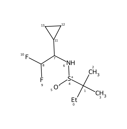 CCC(C)(C)[S+]([O-])NC(C(F)F)C1CC1